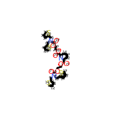 O=C(OCCOC(=O)N(Cc1cccs1)Cc1cccs1)c1cccc(C(=O)OCCOC(=O)N(Cc2cccs2)Cc2cccs2)n1